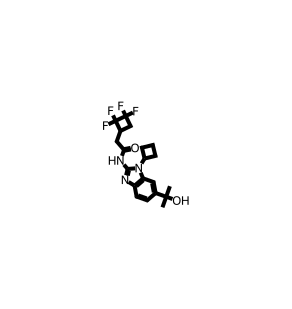 CC(C)(O)c1ccc2nc(NC(=O)CC3CC(F)(F)C3(F)F)n(C3CCC3)c2c1